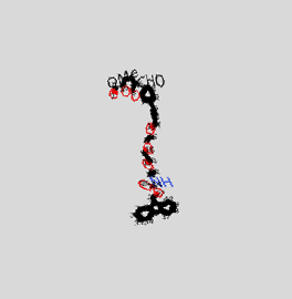 COC(=O)[C@@H]1[CH][CH][CH][C@H](Oc2cc(C#CCOCCOCCOCCNC(=O)OCC3c4ccccc4-c4ccccc43)ccc2C=O)O1